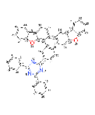 c1ccc(-c2nc(-c3ccccc3)nc(-c3cccc(-c4c(-c5ccc6oc7ccccc7c6c5)ccc5c4oc4ccccc45)c3)n2)cc1